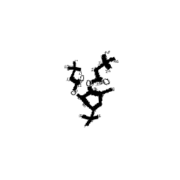 Cc1cc(C(C)(C)C)cc(OC(=O)CC(C)(C)C)c1OC(=O)CC(C)(C)C